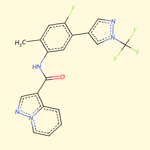 Cc1cc(F)c(-c2cnn(C(F)(F)F)c2)cc1NC(=O)c1cnn2ccccc12